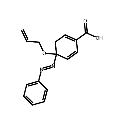 C=CCOC1(N=Nc2ccccc2)C=CC(C(=O)O)=CC1